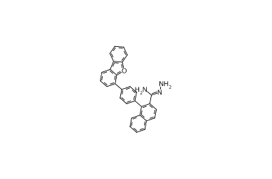 N/N=C(\N)c1ccc2ccccc2c1-c1ccc(-c2cccc3c2oc2ccccc23)cc1